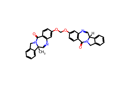 C[C@]12C=Nc3cc(OCOc4ccc5c(c4)N=C[C@@H]4c6ccccc6CN4C5=O)ccc3C(=O)N1Cc1ccccc12